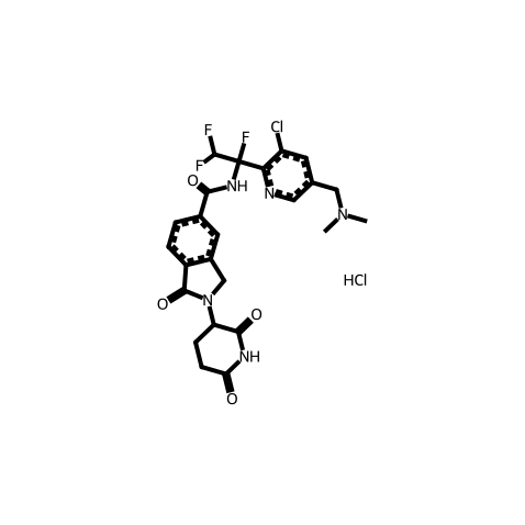 CN(C)Cc1cnc(C(F)(NC(=O)c2ccc3c(c2)CN(C2CCC(=O)NC2=O)C3=O)C(F)F)c(Cl)c1.Cl